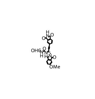 COc1ccc2c(c1)C(=O)N(C[C@@H](C#Cc1ccc3c(c1)C(=O)NC3=O)NC(=O)NC=O)C2